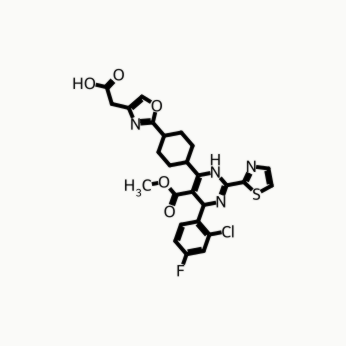 COC(=O)C1=C(C2CCC(c3nc(CC(=O)O)co3)CC2)NC(c2nccs2)=NC1c1ccc(F)cc1Cl